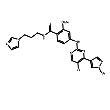 COc1cc(Nc2ncc(Cl)c(-c3cnn(C(C)C)c3)n2)ccc1C(=O)NCCCn1ccnc1